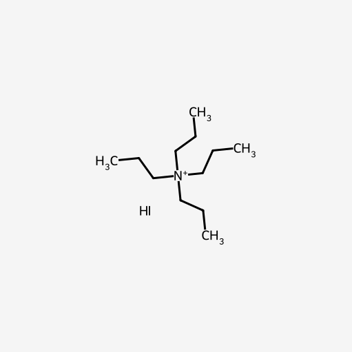 CCC[N+](CCC)(CCC)CCC.I